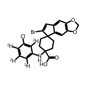 [2H]c1c([2H])c(Cl)c([2H])c(NC2(C(=O)O)CCC3(CC2)C(Br)=Cc2cc4c(cc23)OCO4)c1[2H]